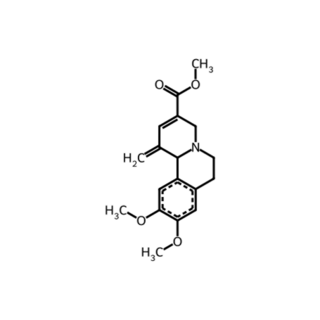 C=C1C=C(C(=O)OC)CN2CCc3cc(OC)c(OC)cc3C12